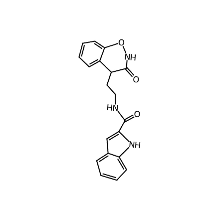 O=C(NCCC1C(=O)NOc2ccccc21)c1cc2ccccc2[nH]1